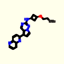 COCCO[C@H]1C[C@@H](Nc2ncc3c(-c4ccc5ncccc5n4)ccn3n2)C1